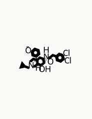 COc1cccc([C@@]23CCN(CC4CC4)C[C@H]2C(O)C[C@H](NC(=O)Cc2ccc(Cl)c(Cl)c2)C3)c1